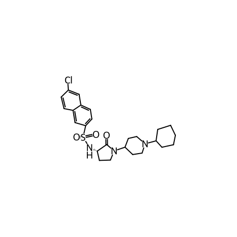 O=C1[C@@H](NS(=O)(=O)c2ccc3cc(Cl)ccc3c2)CCN1C1CCN(C2CCCCC2)CC1